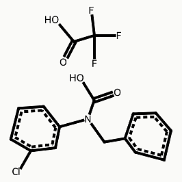 O=C(O)C(F)(F)F.O=C(O)N(Cc1ccccc1)c1cccc(Cl)c1